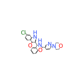 O=C(NC(c1ccccc1)c1c[nH]c2cc(Cl)ccc2c1=O)c1ccc(N2CCOCC2)nc1